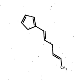 CC=CCC=CC1=CC=CC1